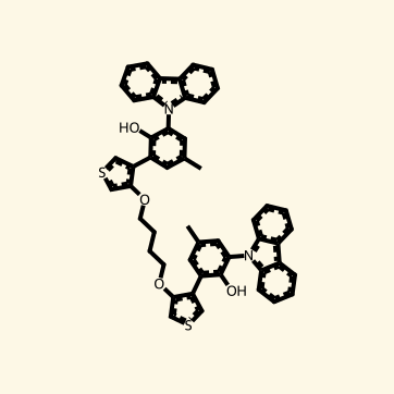 Cc1cc(-c2cscc2OCCCCOc2cscc2-c2cc(C)cc(-n3c4ccccc4c4ccccc43)c2O)c(O)c(-n2c3ccccc3c3ccccc32)c1